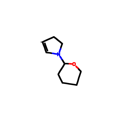 [C]1=CN(C2CCCCO2)CC1